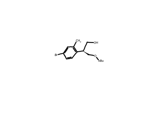 CCCCOC[C@H](CO)c1ccc(Br)cc1C